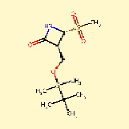 CC(C)(C)[Si](C)(C)OC[C@H]1C(=O)N[C@@H]1S(C)(=O)=O